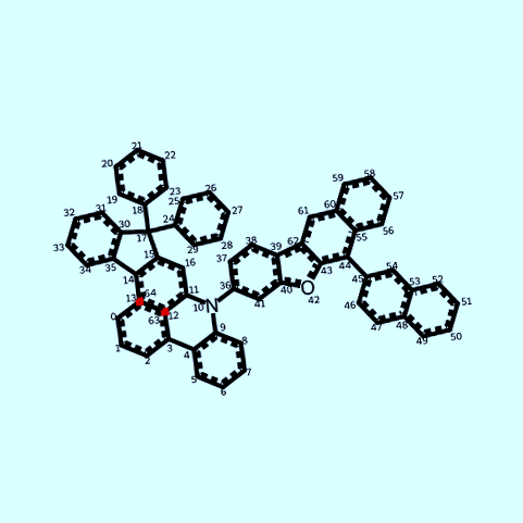 c1ccc(-c2ccccc2N(c2ccc3c(c2)C(c2ccccc2)(c2ccccc2)c2ccccc2-3)c2ccc3c(c2)oc2c(-c4ccc5ccccc5c4)c4ccccc4cc23)cc1